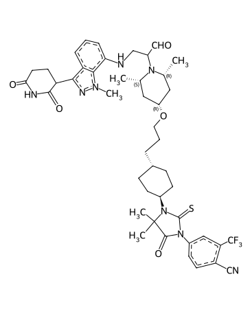 C[C@@H]1C[C@H](OCCC[C@H]2CC[C@H](N3C(=S)N(c4ccc(C#N)c(C(F)(F)F)c4)C(=O)C3(C)C)CC2)C[C@H](C)N1C(C=O)CNc1cccc2c(C3CCC(=O)NC3=O)nn(C)c12